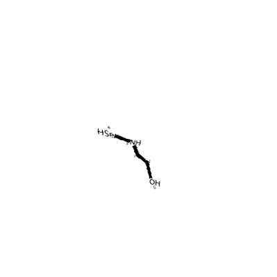 OCCN[SeH]